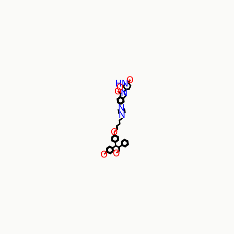 COc1ccc2c(c1)OCC(c1ccccc1)C2c1ccc(OCCCCCN2CCN(c3ccc4c(c3)CN(C3CCC(=O)NC3=O)C4=O)CC2)cc1